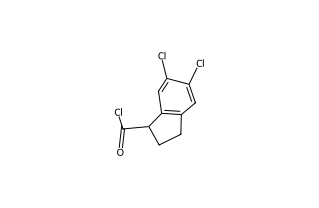 O=C(Cl)C1CCc2cc(Cl)c(Cl)cc21